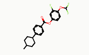 CC1CCC(c2ccc(C(=O)Oc3ccc(OC(F)F)c(F)c3)cc2)CC1